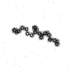 c1cc(-c2cccc(-c3cccc(-c4cc(-c5ccc6c(c5)c5ccccc5n6-c5ccc6oc7ccc(-c8cncc(-c9ccc%10oc%11ccccc%11c%10c9)c8)cc7c6c5)c5oc6cccnc6c5c4)c3)c2)cc(-c2cccc(-c3ccc4oc5cccnc5c4c3)c2)c1